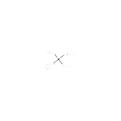 CCCCCCCCC(CCCC)(CCCCCC)C(=O)O.[Nd]